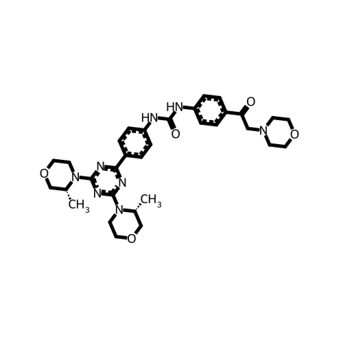 C[C@@H]1COCCN1c1nc(-c2ccc(NC(=O)Nc3ccc(C(=O)CN4CCOCC4)cc3)cc2)nc(N2CCOC[C@H]2C)n1